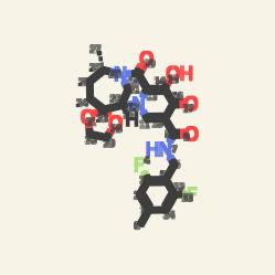 Cc1cc(F)c(CNC(=O)c2cn3c(c(O)c2=O)C(=O)N2C[C@@H]3C3(CC[C@@H]2C)OCCO3)c(F)c1